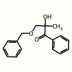 CC(O)(COCc1ccccc1)C(=O)c1ccccc1